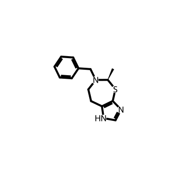 C[C@H]1Sc2nc[nH]c2CCN1Cc1ccccc1